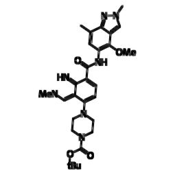 CN/C=C1\C(=N)C(C(=O)Nc2cc(C)c3nn(C)cc3c2OC)=CC=C1N1CCN(C(=O)OC(C)(C)C)CC1